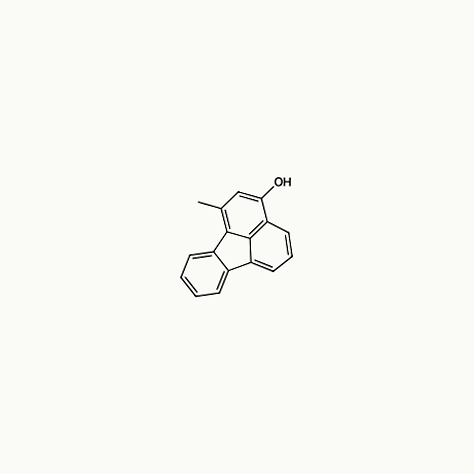 Cc1cc(O)c2cccc3c2c1-c1ccccc1-3